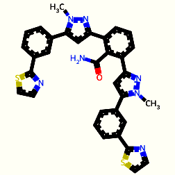 Cn1nc(-c2cccc(-c3cc(-c4cccc(-c5nccs5)c4)n(C)n3)c2C(N)=O)cc1-c1cccc(-c2nccs2)c1